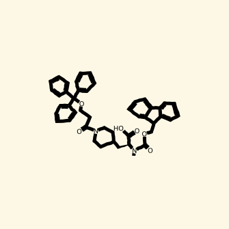 CN(C(=O)OCC1c2ccccc2-c2ccccc21)[C@@H](CC1CCN(C(=O)CCOC(c2ccccc2)(c2ccccc2)c2ccccc2)CC1)C(=O)O